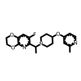 Cc1cc(OC2CCN(C(C)c3nc4c(cc3F)OCCO4)CC2)ccn1